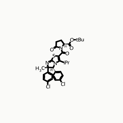 CC(C)C1=C(C(=O)N2C(=O)CC[C@H]2C(=O)OC(C)(C)C)SC2=N[C@@](C)(c3ccc(Cl)cc3)[C@@H](c3ccc(Cl)cc3)N21